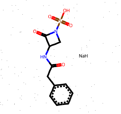 O=C(Cc1ccccc1)NC1CN(S(=O)(=O)O)C1=O.[NaH]